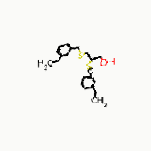 C=Cc1cccc(CSCC(CO)SCc2cccc(C=C)c2)c1